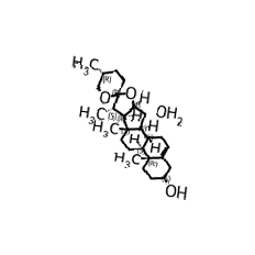 C[C@@H]1CC[C@@]2(OC1)O[C@H]1C[C@H]3[C@@H]4CC=C5C[C@@H](O)CC[C@]5(C)[C@H]4CC[C@]3(C)[C@H]1[C@@H]2C.O